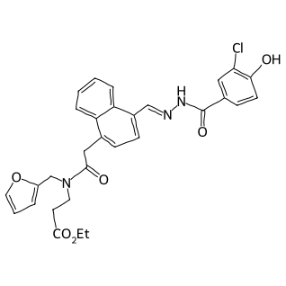 CCOC(=O)CCN(Cc1ccco1)C(=O)Cc1ccc(/C=N/NC(=O)c2ccc(O)c(Cl)c2)c2ccccc12